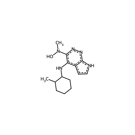 CC1CCCCC1Nc1c(N(C)O)nnc2[nH]ccc12